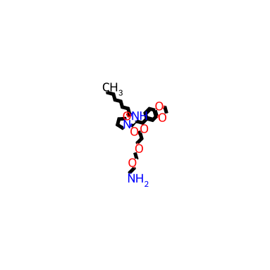 CCCCCCCC(=O)N[C@H](CN1CCCC1)[C@H](OC(=O)CCOCCOCCN)c1ccc2c(c1)OCCO2